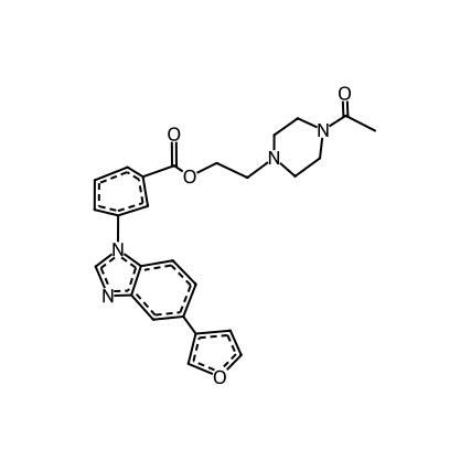 CC(=O)N1CCN(CCOC(=O)c2cccc(-n3cnc4cc(-c5ccoc5)ccc43)c2)CC1